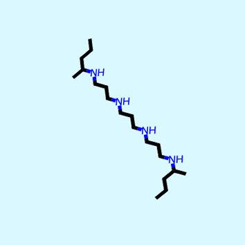 CCCC(C)NCCCNCCCNCCCNC(C)CCC